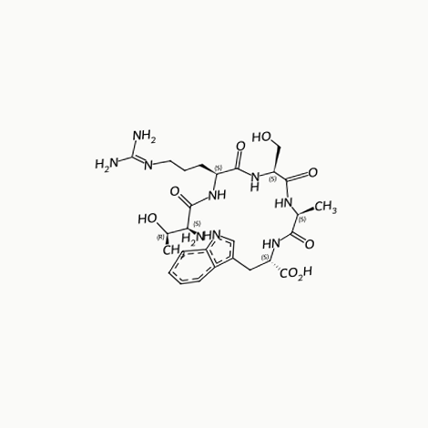 C[C@H](NC(=O)[C@H](CO)NC(=O)[C@H](CCCN=C(N)N)NC(=O)[C@@H](N)[C@@H](C)O)C(=O)N[C@@H](Cc1c[nH]c2ccccc12)C(=O)O